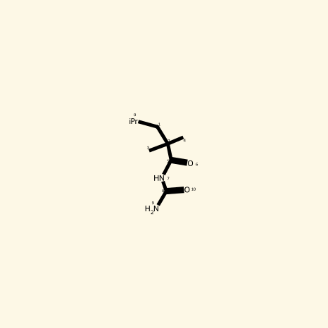 CC(C)CC(C)(C)C(=O)NC(N)=O